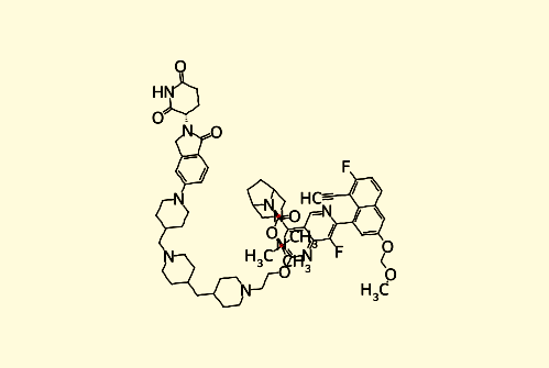 C#Cc1c(F)ccc2cc(OCOC)cc(-c3ncc4c(N5CC6CCC(C5)N6C(=O)OC(C)(C)C)nc(OCCN5CCC(CC6CCN(CC7CCN(c8ccc9c(c8)CN([C@H]8CCC(=O)NC8=O)C9=O)CC7)CC6)CC5)nc4c3F)c12